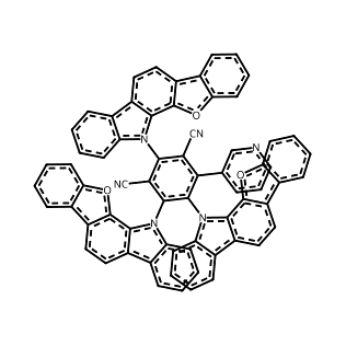 N#Cc1c(-c2cccnc2)c(-n2c3ccccc3c3ccc4c5ccccc5oc4c32)c(-n2c3ccccc3c3ccc4c5ccccc5oc4c32)c(C#N)c1-n1c2ccccc2c2ccc3c4ccccc4oc3c21